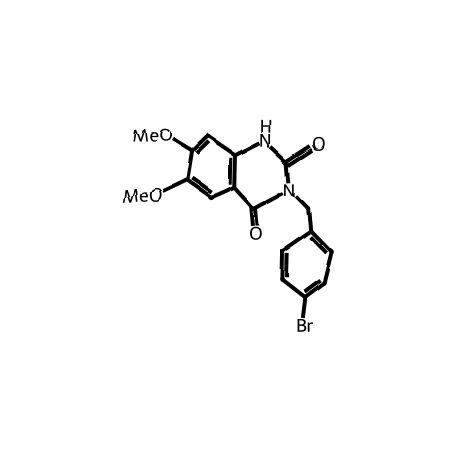 COc1cc2[nH]c(=O)n(Cc3ccc(Br)cc3)c(=O)c2cc1OC